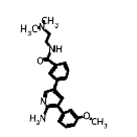 COc1cccc(-c2cc(-c3cccc(C(=O)NCCN(C)C)c3)cnc2N)c1